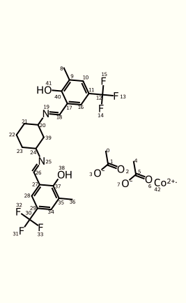 CC(=O)[O-].CC(=O)[O-].Cc1cc(C(F)(F)F)cc(C=NC2CCCC(N=Cc3cc(C(F)(F)F)cc(C)c3O)C2)c1O.[Co+2]